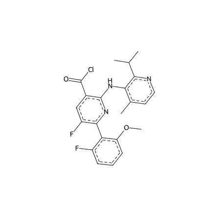 COc1cccc(F)c1-c1nc(Nc2c(C)ccnc2C(C)C)c(C(=O)Cl)cc1F